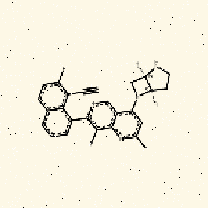 C#Cc1c(F)ccc2cccc(-c3ncc4c(N5C[C@H]6NCC[C@H]65)cc(C)nc4c3F)c12